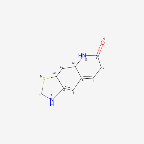 O=C1CC=C2C=C3NCSC3CC2N1